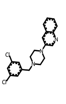 Clc1cc(Cl)cc(CN2CCN(c3cnc4ccccc4c3)CC2)c1